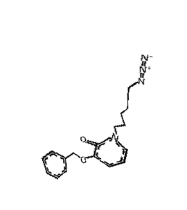 [N-]=[N+]=NCCCCCn1cccc(OCc2ccccc2)c1=O